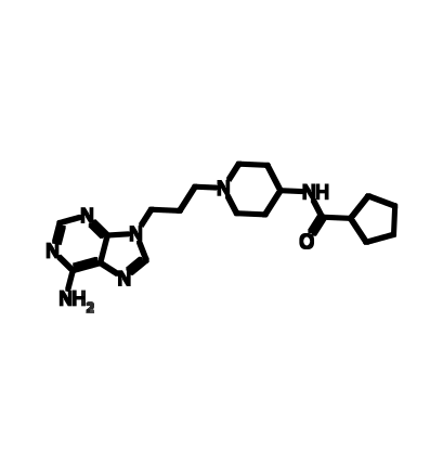 Nc1ncnc2c1ncn2CCCN1CCC(NC(=O)C2CCCC2)CC1